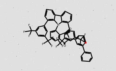 O=C1c2cccc(-n3c4c(-c5cc(C(F)(F)F)cc(C(F)(F)F)c5)cccc4c4cccc(-c5cc(C(F)(F)F)cc(C(F)(F)F)c5)c43)c2C(=O)N1c1cccc(-c2ccccc2)c1